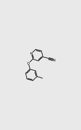 Cc1cccc(Oc2cc(C#N)ccn2)c1